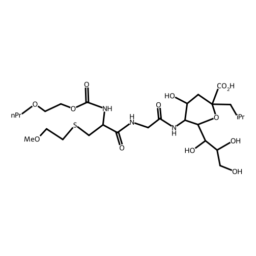 CCCOCCOC(=O)NC(CSCCOC)C(=O)NCC(=O)NC1C(O)CC(CC(C)C)(C(=O)O)OC1C(O)C(O)CO